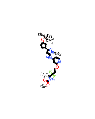 C[C@H](NC(=O)OC(C)(C)C)C(F)(F)CCOc1cc(Nc2cc([C@H]3CC[C@@H](O[Si](C)(C)C(C)(C)C)C3)nn2C(C)(C)C)ccn1